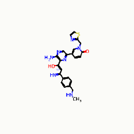 CNCc1ccc(C(=N)/C=C(\O)c2nc(-c3ccc(=O)n(Cc4nccs4)c3)cnc2N)cc1